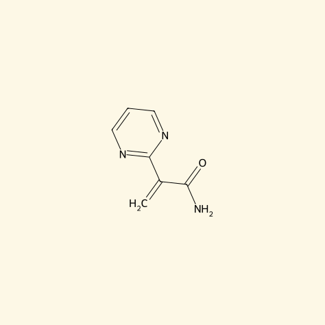 C=C(C(N)=O)c1ncccn1